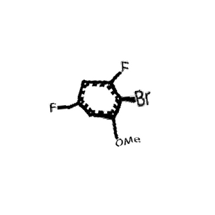 COc1cc(F)cc(F)c1Br